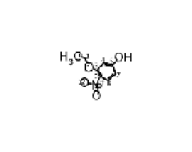 CCOc1cc(O)ccc1[N+](=O)[O-]